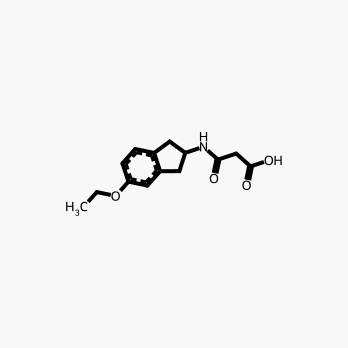 CCOc1ccc2c(c1)CC(NC(=O)CC(=O)O)C2